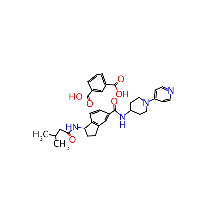 CC(C)CC(=O)NC1CCc2cc(C(=O)NC3CCN(c4ccncc4)CC3)ccc21.O=C(O)c1cccc(C(=O)O)c1